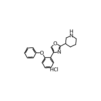 Cl.c1ccc(Oc2ccccc2-c2coc(C3CCCNC3)n2)cc1